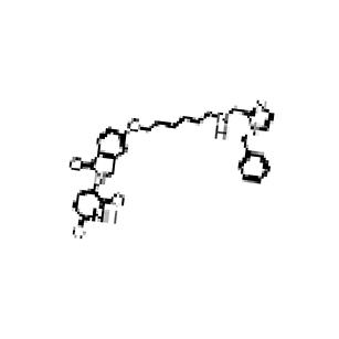 O=C1CCC(N2Cc3cc(OCCCCCCNCc4nccn4Cc4ccccc4)ccc3C2=O)C(=O)N1